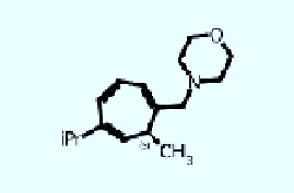 CC(C)C1=C[C@H](C)C(CN2CCOCC2)=CC=C1